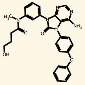 CN(C(=O)CCCO)c1cccc(-n2c(=O)n(-c3ccc(Oc4ccccc4)cc3)c3c(N)ncnc32)c1